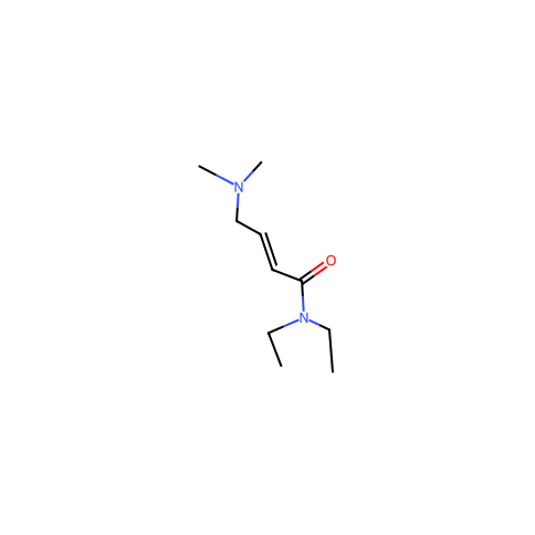 CCN(CC)C(=O)/C=C/CN(C)C